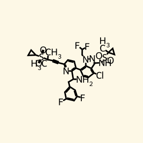 CC1(S(=O)(=O)Nc2nn(CC(F)F)c3c(-c4ccc(C#CC(C)(C)S(=O)(=O)C5CC5)nc4C(N)Cc4cc(F)cc(F)c4)ccc(Cl)c23)CC1